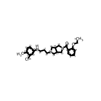 CCOc1ccccc1C(=O)N1CC2CN(CCCNc3ccc(C)c(Cl)c3)CC2C1